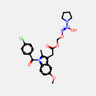 COc1ccc2c(c1)c(CC(=O)OCO/N=[N+](\O)N1CCCC1)c(C)n2C(=O)c1ccc(Cl)cc1